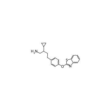 NCC(CCc1ccc(Oc2nc3ccccc3s2)cc1)C1CC1